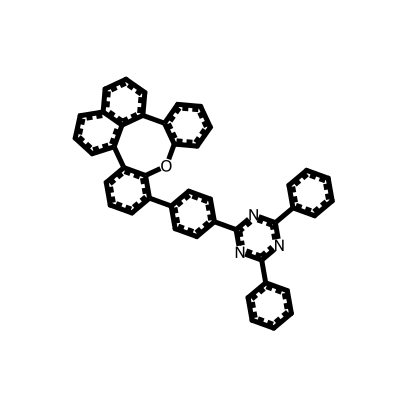 c1ccc(-c2nc(-c3ccccc3)nc(-c3ccc(-c4cccc5c4Oc4ccccc4-c4cccc6cccc-5c46)cc3)n2)cc1